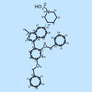 Cn1nc(-c2ccc(OCc3ccccc3)nc2OCc2ccccc2)c2ccc([C@H]3CCCN(C(=O)O)C3)cc21